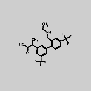 CCNCc1cc(C(F)(F)F)ccc1-c1cc(C(C)C(=O)O)cc(C(F)(F)F)c1